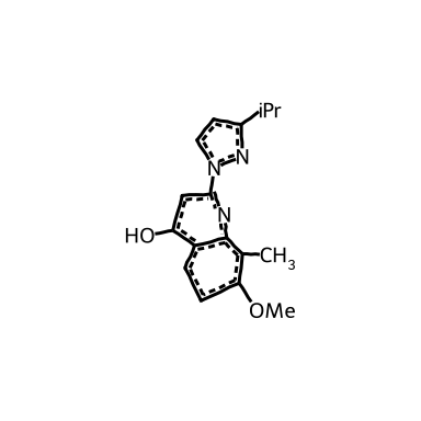 COc1ccc2c(O)cc(-n3ccc(C(C)C)n3)nc2c1C